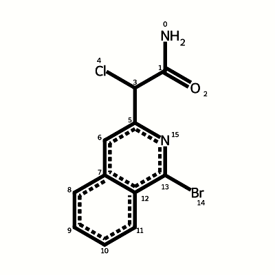 NC(=O)C(Cl)c1cc2ccccc2c(Br)n1